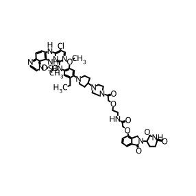 CCc1cc(Nc2ncc(Cl)c(Nc3ccc4nccnc4c3NS(C)(=O)=O)n2)c(OC)cc1N1CCC(N2CCN(C(=O)COCCNC(=O)COc3cccc4c3CN(C3CCC(=O)NC3=O)C4=O)CC2)CC1